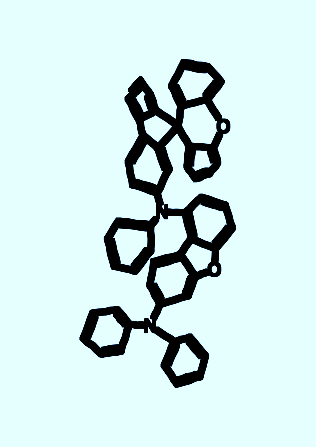 c1ccc(N(c2ccccc2)c2ccc3c(c2)oc2cccc(N(c4ccccc4)c4ccc5c(c4)C4(c6ccccc6Oc6ccccc64)c4ccccc4-5)c23)cc1